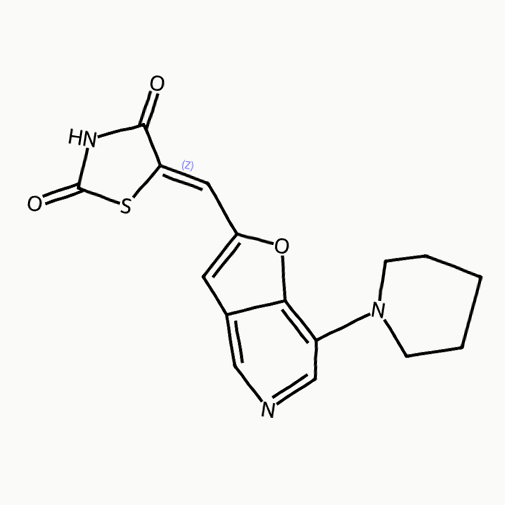 O=C1NC(=O)/C(=C/c2cc3cncc(N4CCCCC4)c3o2)S1